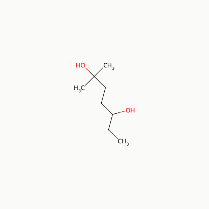 CCC(O)CCC(C)(C)O